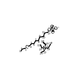 CCCCCCCCCCCCCOS(=O)(=O)[O-].CC[N+](CC)(CC)CC